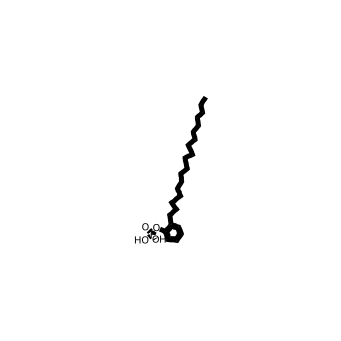 CCCCCCCCCCCCCCCCCCc1ccccc1OP(=O)(O)O